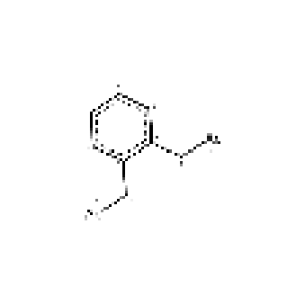 CC(=O)Cc1ccccc1CC(C)=O